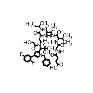 CCC(C)NC(=O)[C@H](CCN(C(=O)CO)[C@@H](c1cc(-c2cc(F)ccc2F)cn1Cc1ccccc1)C(C)(C)C)NC(=O)[C@H](C)NC(=O)C(NC(=O)CNC(=O)CCC(=O)O)C(C)C